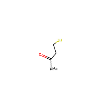 CNC(=O)[CH]CS